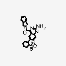 Nc1nc(C(=O)N2Cc3ccccc3C2)c2cc(-c3ccccc3S(=O)(=O)Cl)ccc2n1